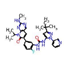 CNc1ncc2cc(-c3ccc(F)c(NC(=O)Nc4cc(C(C)(C)C)nn4-c4cccnc4)c3)c(=O)n(C(C)C)c2n1